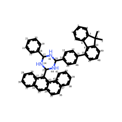 CC1(C)c2ccccc2-c2c(-c3ccc(C4NC(c5ccccc5)NC(c5c6ccccc6cc6ccc7ccccc7c56)N4)cc3)cccc21